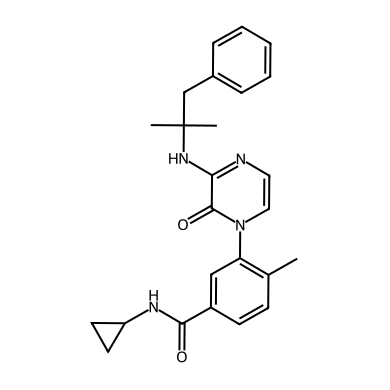 Cc1ccc(C(=O)NC2CC2)cc1-n1ccnc(NC(C)(C)Cc2ccccc2)c1=O